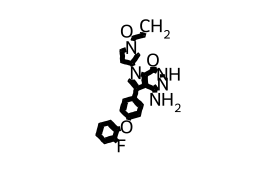 C=CC(=O)N1CCC(n2cc(-c3ccc(Oc4ccccc4F)cc3)c3c(N)n[nH]c(=O)c32)C1